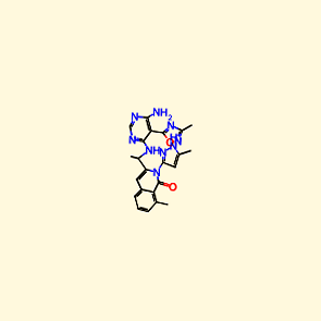 Cc1noc(-c2c(N)ncnc2NC(C)c2cc3cccc(C)c3c(=O)n2-c2cc(C)[nH]n2)n1